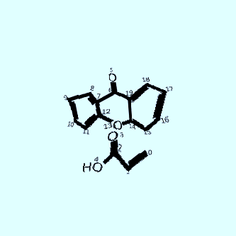 C=CC(=O)O.O=c1c2ccccc2oc2ccccc12